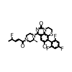 CC(F)/C=C/C(=O)N1CCN(c2nc(=O)n3c4c(c(-c5c(F)cc(F)cc5F)c(Cl)cc24)SCC3)[C@@H](C)C1